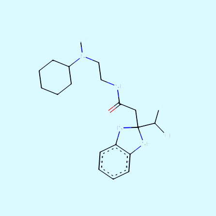 CC(C)C1(CC(=O)NCCN(C)C2CCCCC2)Nc2ccccc2N1